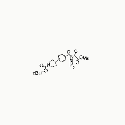 COC(=O)C(=O)N(N)C(=O)c1ccc(C2CCN(C(=O)OC(C)(C)C)CC2)cc1